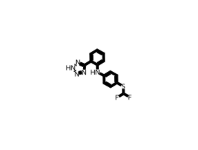 FC(F)Sc1ccc(Nc2ccccc2-c2nn[nH]n2)cc1